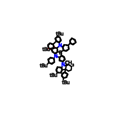 CC(C)(C)c1ccc(N2c3cc(N4c5ccc(C(C)(C)C)cc5C5(c6ccc(C(C)(C)C)cc6)CCCCC45C)ccc3B3c4ccc(-c5ccccc5)cc4N(c4ccc(C(C)(C)C)cc4-c4ccccc4)c4cc(C(C)(C)C)cc2c43)cc1